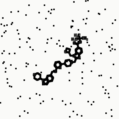 CC(C)(C)OC(=O)c1ccc2nc(CN3CCC(c4cccc(OCc5ccc6cnn(C7CCOCC7)c6c5)n4)CC3)n(C[C@@H]3CCO3)c2c1